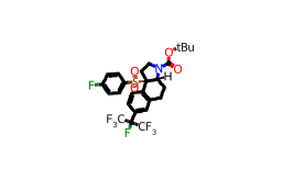 CC(C)(C)OC(=O)N1CC[C@@]2(S(=O)(=O)c3ccc(F)cc3)c3ccc(C(F)(C(F)(F)F)C(F)(F)F)cc3CC[C@@H]12